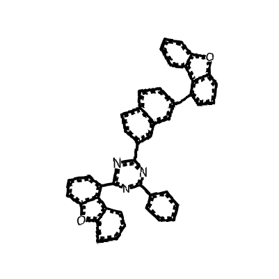 c1ccc(-c2nc(-c3ccc4ccc(-c5cccc6oc7ccccc7c56)cc4c3)nc(-c3cccc4oc5ccccc5c34)n2)cc1